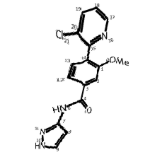 COc1cc(C(=O)Nc2cc[nH]n2)ccc1-c1ncccc1Cl